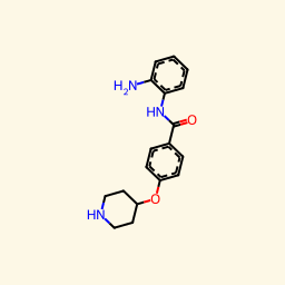 Nc1ccccc1NC(=O)c1ccc(OC2CCNCC2)cc1